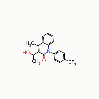 Cc1c(C(C)O)c(=O)n(-c2ccc(C(F)(F)F)cc2)c2ccccc12